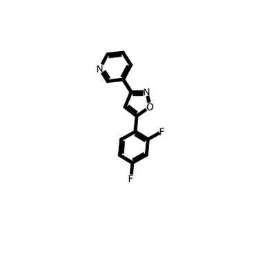 Fc1ccc(-c2cc(-c3cccnc3)no2)c(F)c1